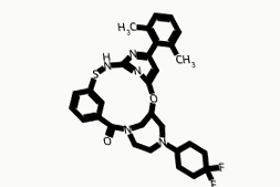 Cc1cccc(C)c1-c1cc2nc(n1)NSc1cccc(c1)C(=O)N1CCN(C3CCC(F)(F)CC3)CC(C1)O2